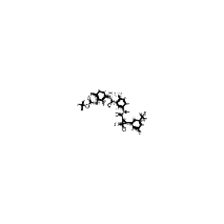 CC(C)(C)OC(=O)Nc1c(F)ccc(NC(=O)c2cc(NC(=O)C3C(c4cc(Cl)cc(C(F)(F)F)c4)C3(Cl)Cl)ccc2Cl)c1F